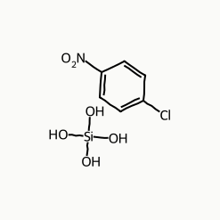 O=[N+]([O-])c1ccc(Cl)cc1.O[Si](O)(O)O